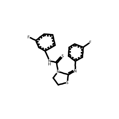 Fc1cccc(/N=C2/SCCN2C(=S)Nc2cccc(F)c2)c1